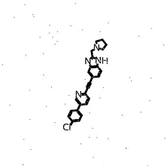 Clc1ccc(-c2ccc(C#Cc3ccc4[nH]c(CN5CCCC5)nc4c3)nc2)cc1